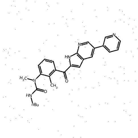 CCCCNC(=O)N(C)c1cccc(C(=O)c2cc3cc(-c4cccnc4)cnc3[nH]2)c1C